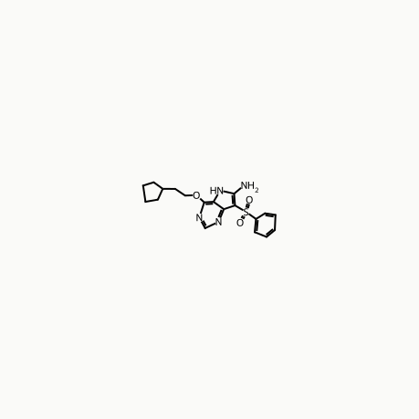 Nc1[nH]c2c(OCCC3CCCC3)ncnc2c1S(=O)(=O)c1ccccc1